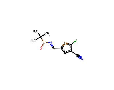 CC(C)(C)[S+]([O-])N=Cc1cc(C#N)c(F)s1